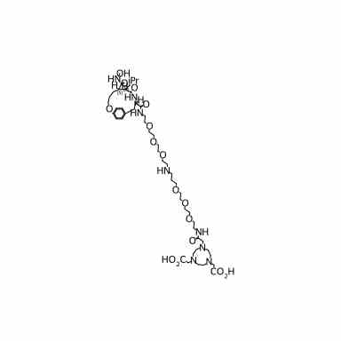 CC(C)C[C@H]1C(=O)N[C@H](C(=O)NCCOCCOCCOCCNCCCOCCOCCOCCNC(=O)CN2CCN(CC(=O)O)CCN(CC(=O)O)CC2)Cc2ccc(cc2)OCCC[C@@H]1C(=O)NO